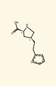 O=C(O)[C@@H]1C[C@H](CCc2ccco2)CN1